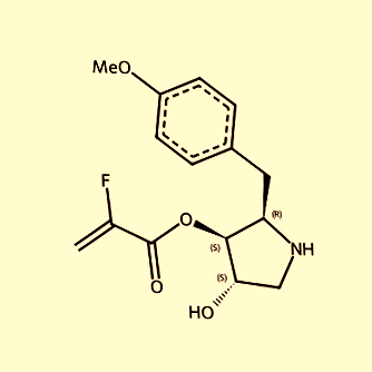 C=C(F)C(=O)O[C@@H]1[C@@H](O)CN[C@@H]1Cc1ccc(OC)cc1